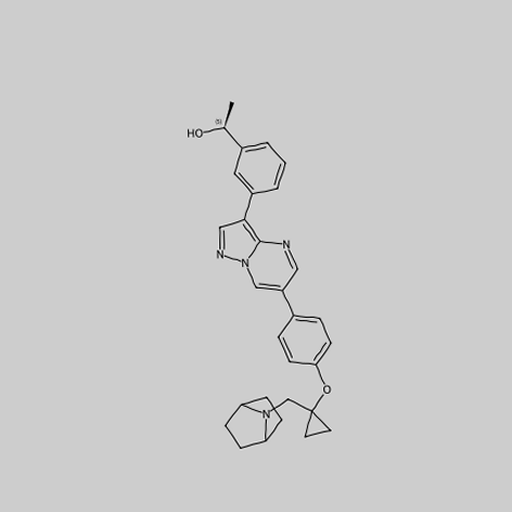 C[C@H](O)c1cccc(-c2cnn3cc(-c4ccc(OC5(CN6C7CCC6CC7)CC5)cc4)cnc23)c1